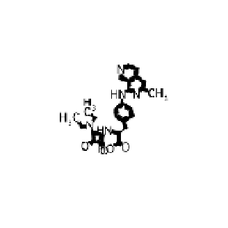 CCN(CC)c1c(N[C@@H](Cc2ccc(Nc3nc(C)cc4ccncc34)cc2)C(=O)O)c(=O)c1=O